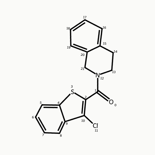 O=C(c1sc2ccccc2c1Cl)N1CCc2ccccc2C1